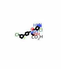 O=C(NN(Cc1ccc(-c2cc(Cl)ccc2F)cc1)C[C@@H](O)C(=O)O)c1cc(Cl)c2nn[nH]c2c1